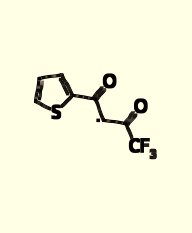 O=C([CH]C(=O)C(F)(F)F)c1cccs1